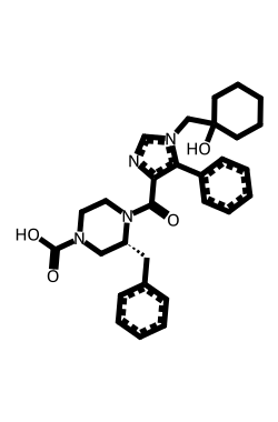 O=C(O)N1CCN(C(=O)c2ncn(CC3(O)CCCCC3)c2-c2ccccc2)[C@H](Cc2ccccc2)C1